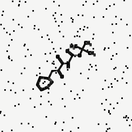 CC(C)(C)OC(=O)NC(=O)C(=O)Cc1ccccc1